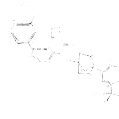 COc1cc(-c2cccc(N(CC34CCC(c5cc(C(F)(F)F)ccn5)(CC3)C4)C(=O)C3CCC3)c2)ccn1